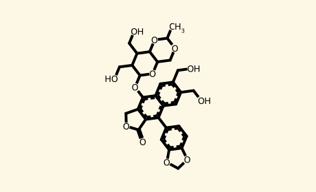 CC1OCC2OC(Oc3c4c(c(-c5ccc6c(c5)OCO6)c5cc(CO)c(CO)cc35)C(=O)OC4)C(CO)C(CO)C2O1